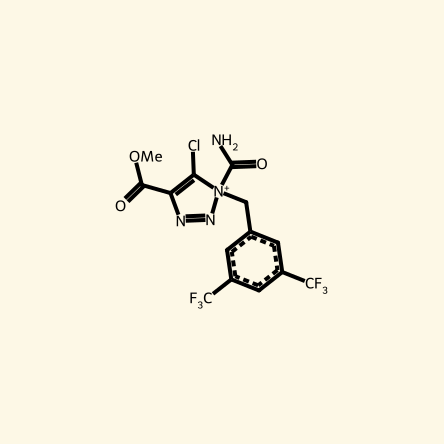 COC(=O)C1=C(Cl)[N+](Cc2cc(C(F)(F)F)cc(C(F)(F)F)c2)(C(N)=O)N=N1